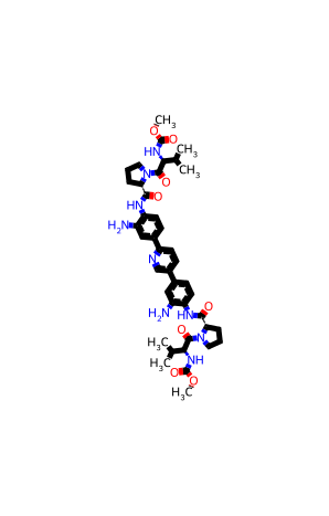 COC(=O)N[C@H](C(=O)N1CCC[C@H]1C(=O)Nc1ccc(-c2ccc(-c3ccc(NC(=O)[C@@H]4CCCN4C(=O)[C@@H](NC(=O)OC)C(C)C)c(N)c3)nc2)cc1N)C(C)C